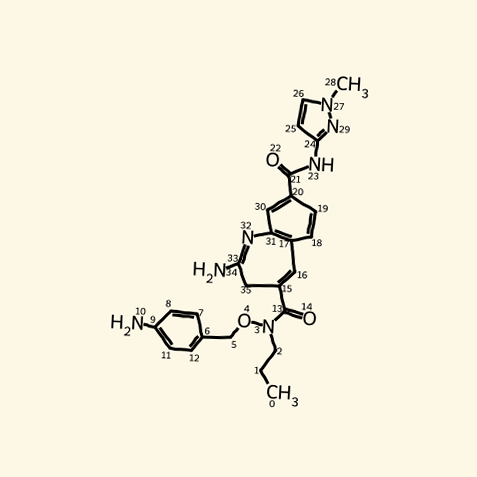 CCCN(OCc1ccc(N)cc1)C(=O)C1=Cc2ccc(C(=O)Nc3ccn(C)n3)cc2N=C(N)C1